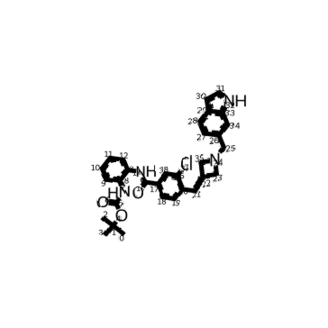 CC(C)(C)OC(=O)Nc1ccccc1NC(=O)c1ccc(C=C2CN(Cc3ccc4cc[nH]c4c3)C2)c(Cl)c1